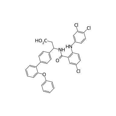 O=C(O)CC(NC(=O)c1cc(Cl)ccc1Nc1ccc(Cl)c(Cl)c1)c1ccc(-c2ccccc2Oc2ccccc2)cc1